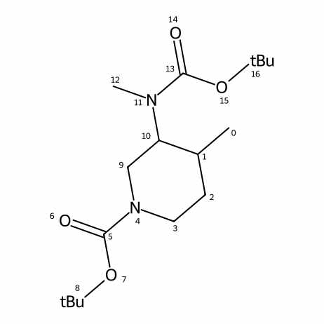 CC1CCN(C(=O)OC(C)(C)C)CC1N(C)C(=O)OC(C)(C)C